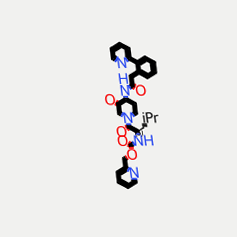 CC(C)C[C@H](NC(=O)OCc1ccccn1)C(=O)N1CCC(NC(=O)Cc2ccccc2-c2ccccn2)C(=O)C1